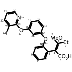 CCC(OC)=C(C(=O)O)c1ccccc1Oc1cccc(Oc2ncccc2I)c1